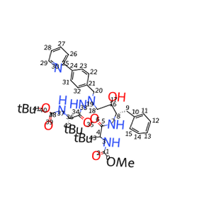 COC(=O)NC(C(=O)N[C@@H](Cc1ccccc1)[C@@H](O)CN(Cc1ccc(-c2ccccn2)cc1)NC(=O)[C@@H](NC(=O)OC(C)(C)C)C(C)(C)C)C(C)(C)C